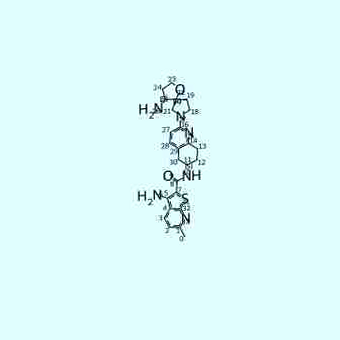 Cc1ccc2c(N)c(C(=O)N[C@H]3CCc4nc(N5CC[C@]6(C5)OCC[C@@H]6N)ccc4C3)sc2n1